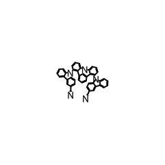 N#Cc1ccc2c(c1)c1ccccc1n2-c1cccc2c1c1cccc3c4c(-n5c6ccccc6c6cc(C#N)ccc65)cccc4n2c13